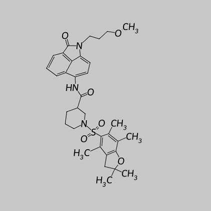 COCCCN1C(=O)c2cccc3c(NC(=O)C4CCCN(S(=O)(=O)c5c(C)c(C)c6c(c5C)CC(C)(C)O6)C4)ccc1c23